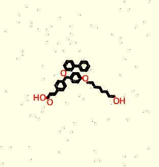 O=C(O)C=Cc1ccc(C(=O)c2ccc(OCCCCCCCCO)cc2)cc1.c1ccc(-c2ccccc2)cc1